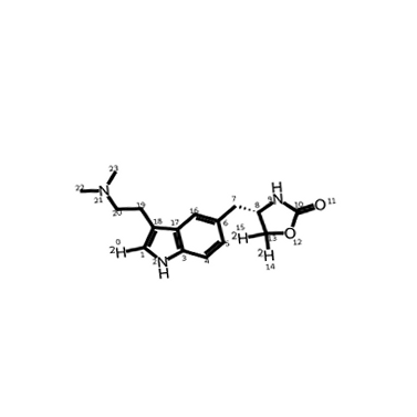 [2H]c1[nH]c2ccc(C[C@@H]3NC(=O)OC3([2H])[2H])cc2c1CCN(C)C